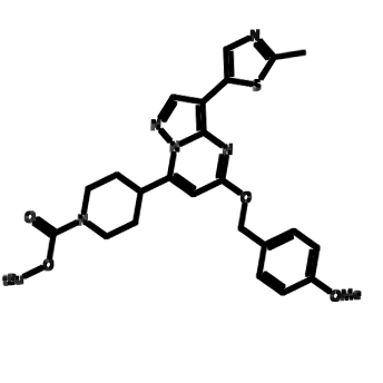 COc1ccc(COc2cc(C3CCN(C(=O)OC(C)(C)C)CC3)n3ncc(-c4cnc(C)s4)c3n2)cc1